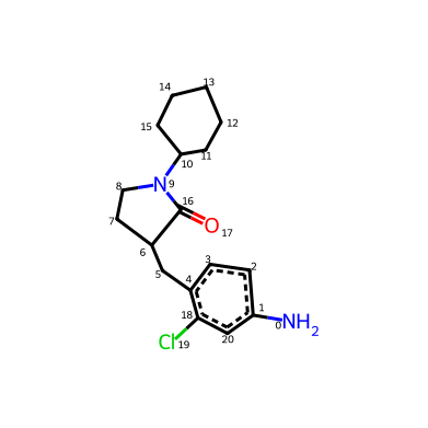 Nc1ccc(CC2CCN(C3CCCCC3)C2=O)c(Cl)c1